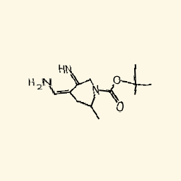 CC1C/C(=C/N)C(=N)CN1C(=O)OC(C)(C)C